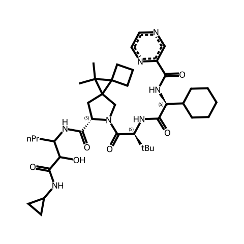 CCCC(NC(=O)[C@@H]1CC2(CN1C(=O)[C@@H](NC(=O)[C@@H](NC(=O)c1cnccn1)C1CCCCC1)C(C)(C)C)C(C)(C)C21CCC1)C(O)C(=O)NC1CC1